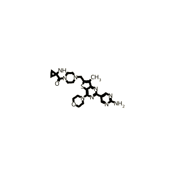 Cc1c(CN2CCN(C(=O)C3(N)CC3)CC2)sc2c(N3CCOCC3)nc(-c3cnc(N)nc3)nc12